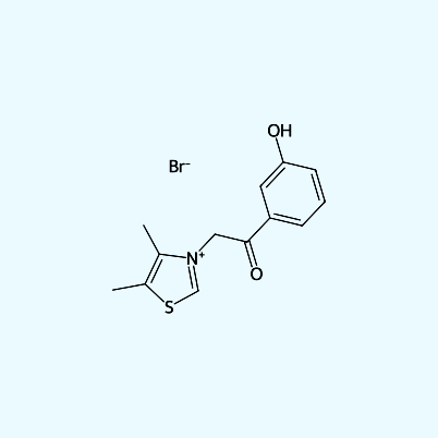 Cc1sc[n+](CC(=O)c2cccc(O)c2)c1C.[Br-]